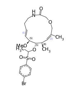 CO[C@H]1/C=C/CCNC(=O)COC/C(C)=C\[C@@H](C)[C@@H]1OC(C)S(=O)(=O)c1ccc(Br)cc1